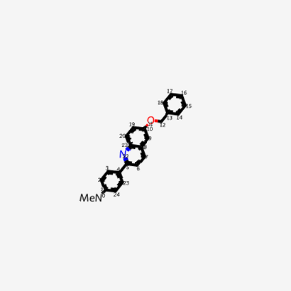 CNc1ccc(-c2ccc3cc(OCc4ccccc4)ccc3n2)cc1